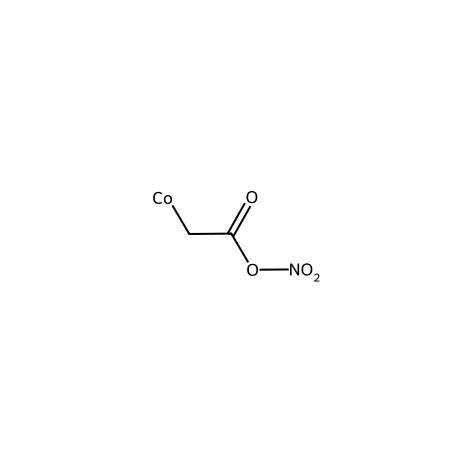 O=C([CH2][Co])O[N+](=O)[O-]